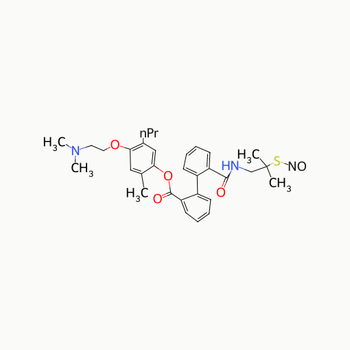 CCCc1cc(OC(=O)c2ccccc2-c2ccccc2C(=O)NCC(C)(C)SN=O)c(C)cc1OCCN(C)C